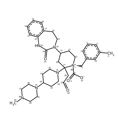 Cc1cccc(C[N@+]2(C(=O)[O-])CCC(N3CCc4ccccc4NC3=O)CC2(CC=O)N2CCC(N3CCN(C)CC3)CC2)c1